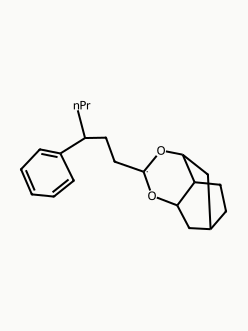 [CH2]CCC(CC[C]1OC2CC3CCC2C(C3)O1)c1ccccc1